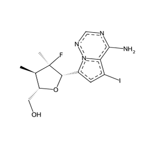 C[C@@H]1[C@@H](CO)O[C@@H](c2cc(I)c3c(N)ncnn23)[C@]1(C)F